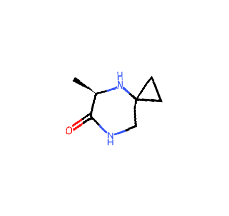 C[C@H]1NC2(CC2)CNC1=O